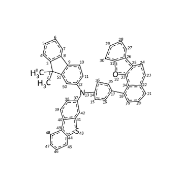 CC1(C)c2ccccc2-c2ccc(N(c3ccc(-c4cccc5ccc6c7ccccc7oc6c45)cc3)c3ccc4c(c3)sc3ccccc34)cc21